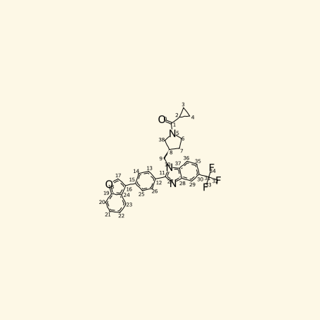 O=C(C1CC1)N1CC[C@@H](Cn2c(-c3ccc(-c4coc5ccccc45)cc3)nc3cc(C(F)(F)F)ccc32)C1